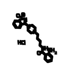 Cl.Nc1ccccc1C(=O)NCCCCN1CCN(C2=NS(=O)(=O)c3ccccc32)CC1